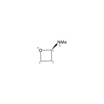 CN[C@H]1CCO1